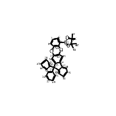 CC1(C)OB(c2cccc3c2Oc2cc4c(cc2O3)C(c2ccccc2)(c2ccccc2)c2ccccc2-4)OC1(C)C